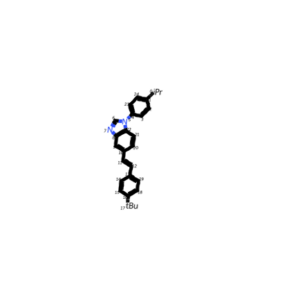 CC(C)c1ccc(-n2cnc3cc(/C=C/c4ccc(C(C)(C)C)cc4)ccc32)cc1